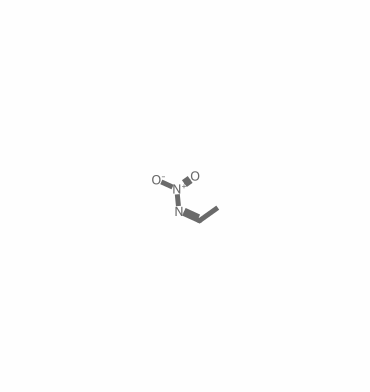 C/C=N\[N+](=O)[O-]